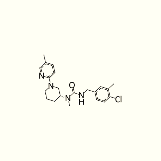 Cc1ccc(N2CCC[C@@H](N(C)C(=O)NCc3ccc(Cl)c(C)c3)C2)nc1